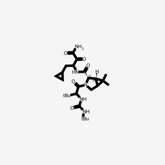 CC(C)(C)NC(=O)NC(C(=O)N1CC2[C@@H]([C@H]1C(=O)NC(CC1CC1)C(=O)C(N)=O)C2(C)C)C(C)(C)C